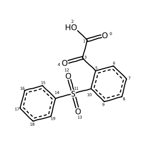 O=C(O)C(=O)c1ccccc1S(=O)(=O)c1ccccc1